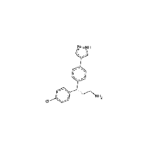 NCC[C@H](c1ccc(Cl)cc1)c1ccc(-c2cn[nH]c2)cc1